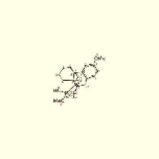 COc1ccc2c(c1)[C@@]13CCCCC1[C@@H](C2)N(P(=O)(O)OC)CC3